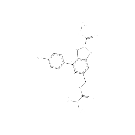 CN(C)C(=O)NCc1cc2c(c(-c3ccc(C#N)cc3)c1)CN(C(=O)OC(C)(C)C)C2